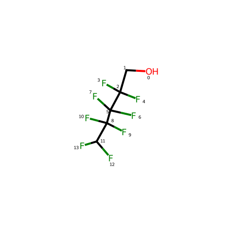 OCC(F)(F)C(F)(F)C(F)(F)C(F)F